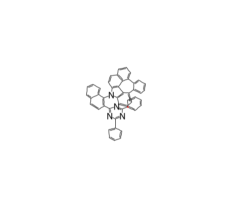 c1ccc(-c2nc(-c3ccccc3)nc(-c3ccc4ccccc4c3-n3c4cccc5c4c4c6c(cccc6ccc43)-c3ccccc3-5)n2)cc1